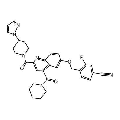 N#Cc1ccc(COc2ccc3nc(C(=O)N4CCC(n5cccn5)CC4)cc(C(=O)N4CCCCC4)c3c2)c(F)c1